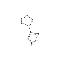 [c]1nc(C2CCCO2)c[nH]1